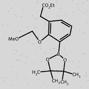 CCOC(=O)Cc1cccc(B2OC(C)(C)C(C)(C)O2)c1OCOC